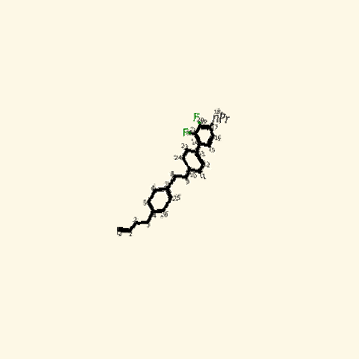 C=CCCC1CCC(CCC2CC=C(c3ccc(CCC)c(F)c3F)CC2)CC1